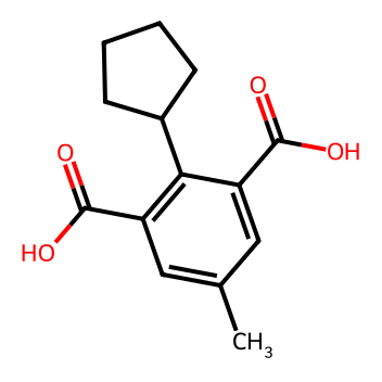 Cc1cc(C(=O)O)c(C2CCCC2)c(C(=O)O)c1